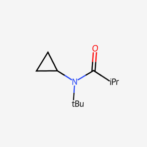 CC(C)C(=O)N(C1CC1)C(C)(C)C